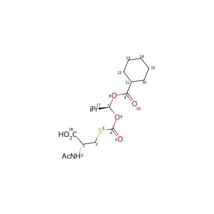 CC(=O)N[C@@H](CSC(=O)O[C@H](OC(=O)C1CCCCC1)C(C)C)C(=O)O